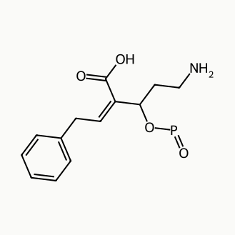 NCCC(OP=O)C(=CCc1ccccc1)C(=O)O